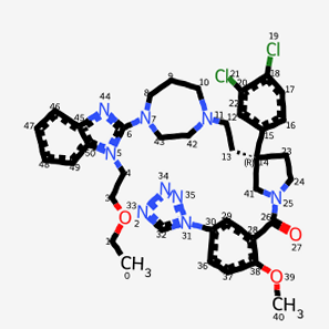 CCOCCn1c(N2CCCN(CC[C@]3(c4ccc(Cl)c(Cl)c4)CCN(C(=O)c4cc(-n5cnnn5)ccc4OC)C3)CC2)nc2ccccc21